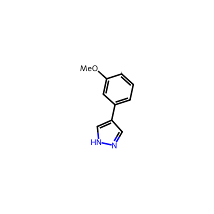 COc1[c]ccc(-c2cn[nH]c2)c1